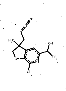 CC1(CN=[N+]=[N-])COc2c1cc(C(O)C(F)(F)F)nc2Cl